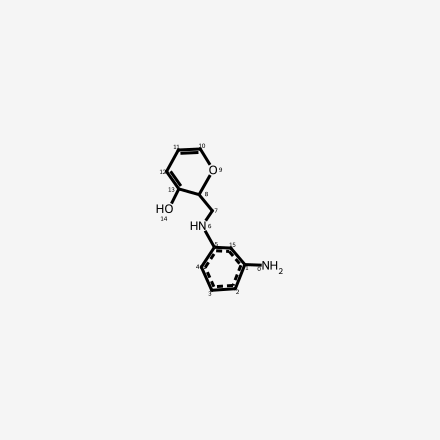 Nc1cccc(NCC2OC=CC=C2O)c1